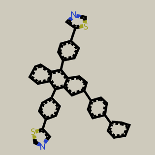 c1ccc(-c2ccc(-c3ccc4c(-c5ccc(-c6cncs6)cc5)c5ccccc5c(-c5ccc(-c6cncs6)cc5)c4c3)cc2)cc1